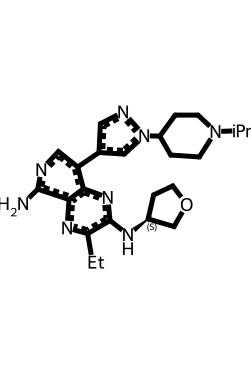 CCc1nc2c(N)ncc(-c3cnn(C4CCN(C(C)C)CC4)c3)c2nc1N[C@H]1CCOC1